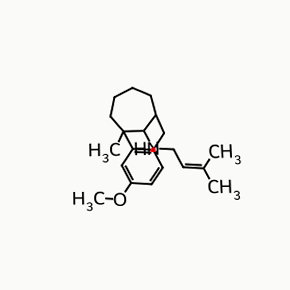 COc1ccc2c(c1)C1(C)CCCCC(C2)C1NCC=C(C)C